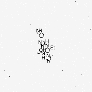 C=CC(O)Nc1cc(Nc2cc(-c3ccc4c(cnn4C)c3)ncn2)c(CC)cc1N1CCN(C)CC1